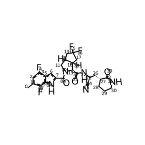 Cc1cc(F)c2cc(C(=O)N3C[C@@H]4CC(F)(F)C[C@@H]4[C@H]3C(=O)N[C@H](C#N)C[C@H]3CCCNC3=O)[nH]c2c1F